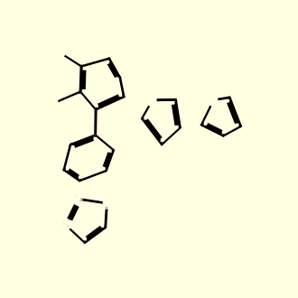 Cc1cccc(-c2ccccc2)c1C.c1ccsc1.c1ccsc1.c1csnn1